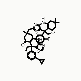 CCC1(c2cccc(C3CC3)c2)C2=C(CC(C)(Cc3nc4c(s3)C(CC)(c3ccccc3F)C3=C(CC(C)(C)CC3=O)N4)CC2=O)Nc2ncsc21